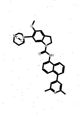 COc1cc2c(cc1N1CCN3CCC1CC3)N(C(=O)Nc1cccc3c(-c4cc(C)nc(C)c4)cccc13)CC2